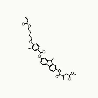 C=CC(=O)OCCCCOc1ccc(C(=O)Oc2ccc3c(c2)C(C)c2cc(OC(=O)C(=C)CC(=O)OC)ccc2-3)cc1C